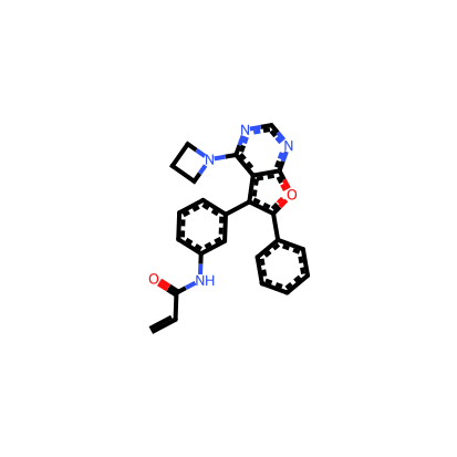 C=CC(=O)Nc1cccc(-c2c(-c3ccccc3)oc3ncnc(N4CCC4)c23)c1